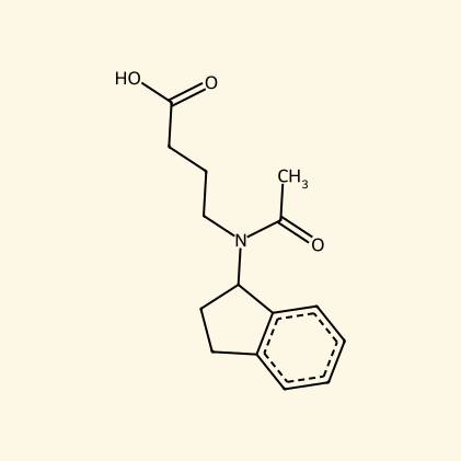 CC(=O)N(CCCC(=O)O)C1CCc2ccccc21